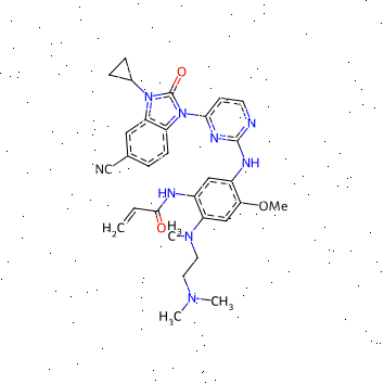 C=CC(=O)Nc1cc(Nc2nccc(-n3c(=O)n(C4CC4)c4cc(C#N)ccc43)n2)c(OC)cc1N(C)CCN(C)C